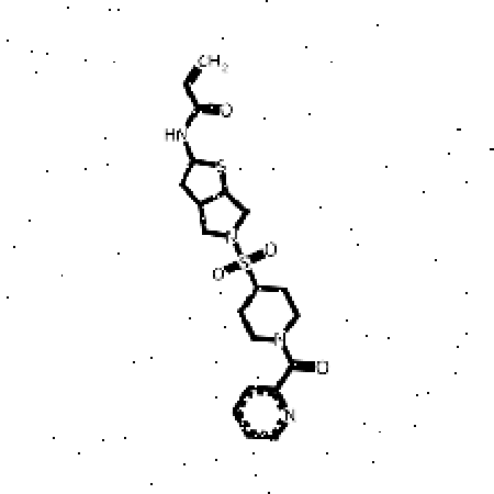 C=CC(=O)NC1CC2CN(S(=O)(=O)C3CCN(C(=O)c4ccccn4)CC3)CC2S1